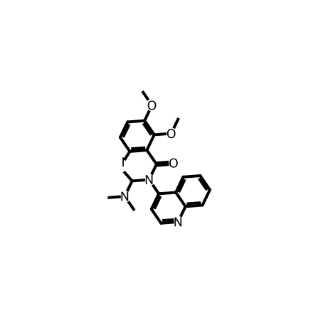 COc1ccc(I)c(C(=O)N(c2ccnc3ccccc23)C(C)N(C)C)c1OC